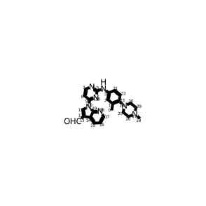 Cc1cc(Nc2nccc(-n3cc(C=O)c4cccnc43)n2)ccc1N1CCN(C)CC1